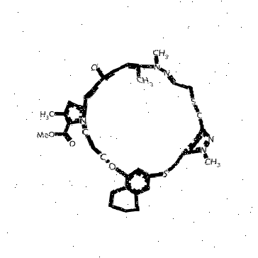 COC(=O)c1c(C)cc2n1CCCOc1cc(cc3c1CCCC3)SCc1cc(nn1C)CSC/C=N/N(C)/C(C)=C/C=C(Cl)/C=C\2